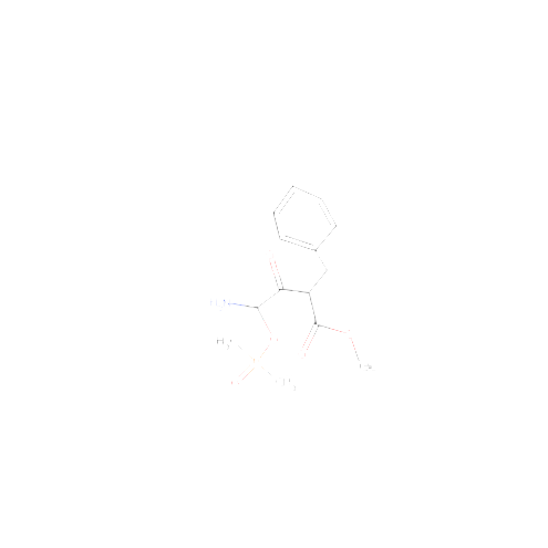 CC(C)(C)OC(=O)C(Cc1ccccc1)C(=O)C(N)OP(C)(C)=O